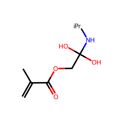 C=C(C)C(=O)OCC(O)(O)NC(C)C